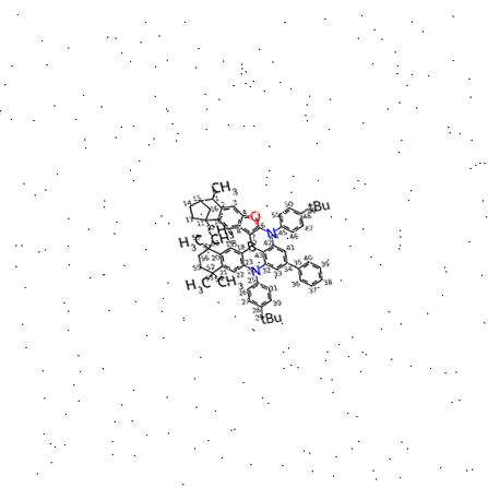 CC1c2cc3oc4c(c3cc2C2(C)CCC1C2)B1c2cc3c(cc2N(c2ccc(C(C)(C)C)cc2)c2cc(-c5ccccc5)cc(c21)N4c1ccc(C(C)(C)C)cc1)C(C)(C)CCC3(C)C